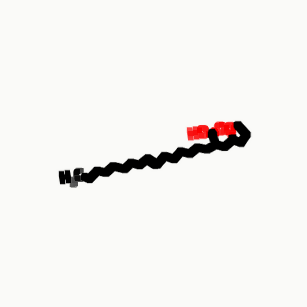 CCCCCCCCC=CCCCCCCC(CC1CCCO1)C(=O)O